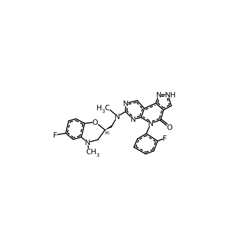 CN(C[C@H]1CN(C)c2cc(F)ccc2O1)c1ncc2c3n[nH]cc3c(=O)n(-c3ccccc3F)c2n1